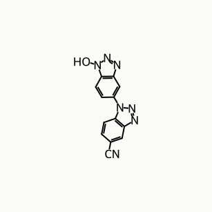 N#Cc1ccc2c(c1)nnn2-c1ccc2c(c1)nnn2O